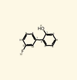 Oc1ccccc1-c1cccc(F)c1